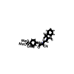 CO[Si](OC)(OC)c1ccc(NC(=O)/C(C#N)=C/C=C2/N(C)c3ccccc3C2(C)C)cc1